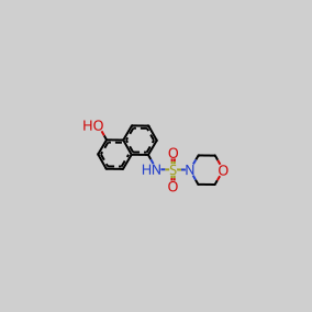 O=S(=O)(Nc1cccc2c(O)cccc12)N1CCOCC1